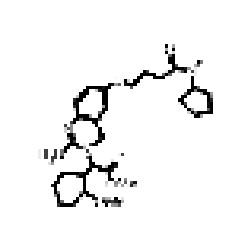 COC(=O)C(C1CCCCC1OC)N1Cc2cc(OCCCC(=O)N(C)C3CCCC3)ccc2N=C1N